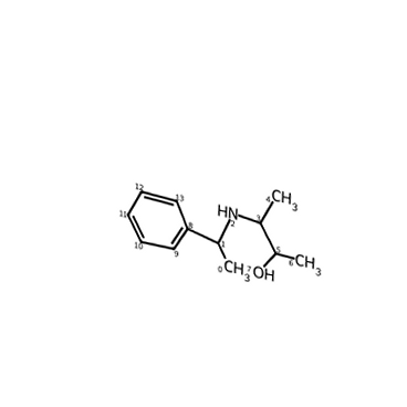 CC(NC(C)C(C)O)c1ccccc1